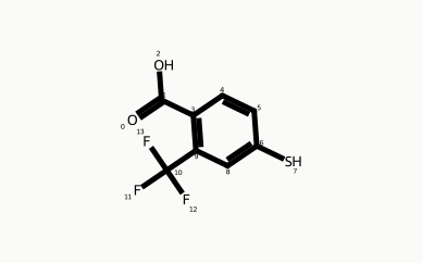 O=C(O)c1ccc(S)cc1C(F)(F)F